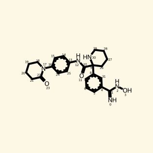 N=C(NO)c1cccc(C2(C(=O)Nc3ccc(N4CCCCC4=O)cc3)CCCCN2)c1